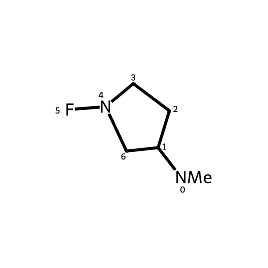 CNC1CCN(F)C1